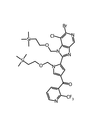 C[Si](C)(C)CCOCn1cc(C(=O)c2cccnc2C(F)(F)F)cc1-c1nc2cnc(Br)c(Cl)c2n1COCC[Si](C)(C)C